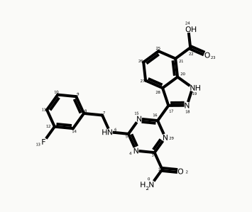 NC(=O)c1nc(NCc2cccc(F)c2)nc(-c2n[nH]c3c(C(=O)O)cccc23)n1